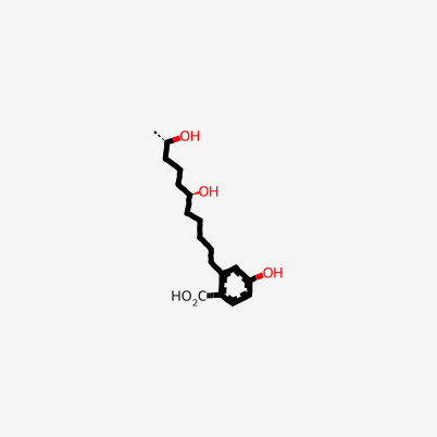 C[C@H](O)CCC[C@H](O)CCCCCc1cc(O)ccc1C(=O)O